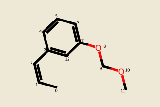 C/C=C\c1cccc(OCOC)c1